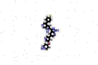 Fc1ccc(-c2cncc3[nH]c(-c4n[nH]c5ncc(-c6cncc(OC7CCNCC7)c6)cc45)cc23)cc1